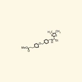 CCC(NCc1ccc(COc2ccc(CCC(=O)OC)cc2)cc1)c1nc(C)c(C)s1